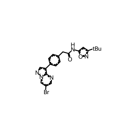 CC(C)(C)c1cc(NC(=O)Cc2ccc(-c3cnn4cc(Br)cnc34)cc2)on1